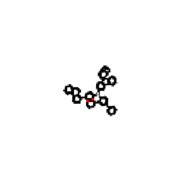 c1ccc(-c2ccc(N(c3ccc(-c4cccc5c4ccc4ccccc45)cc3)c3ccc4c(c3)-c3ccccc3C43C4CC5CC(C4)CC3C5)c(-c3ccccc3)c2)cc1